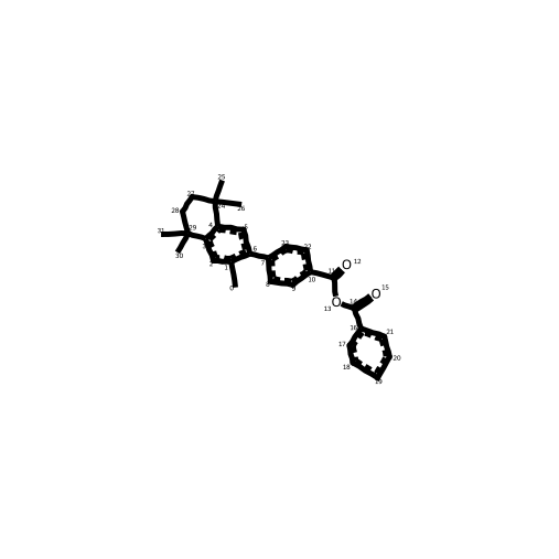 Cc1cc2c(cc1-c1ccc(C(=O)OC(=O)c3ccccc3)cc1)C(C)(C)CCC2(C)C